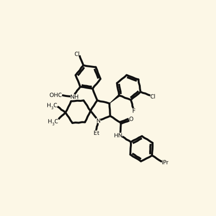 CCN1C(C(=O)Nc2ccc(C(C)C)cc2)[C@H](c2cccc(Cl)c2F)C(c2ccc(Cl)cc2NC=O)C12CCC(C)(C)CC2